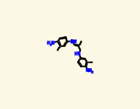 C/C(=C\Nc1ccc(N)c(C)c1)CNc1ccc(N)c(C)c1